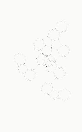 c1ccc2c(c1)-c1ccccc1C21c2ccc3ccccc3c2-c2cccc(-c3c4cccc(-c5cccc6sc7ccccc7c56)c4cc4c(-c5cccc6sc7ccccc7c56)cccc34)c21